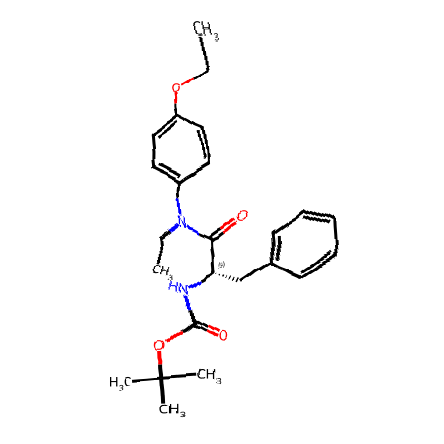 CCOc1ccc(N(CC)C(=O)[C@H](Cc2ccccc2)NC(=O)OC(C)(C)C)cc1